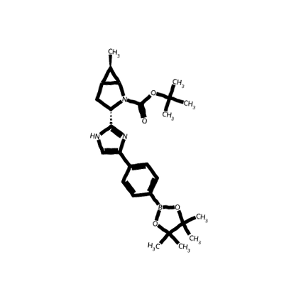 C[C@@H]1C2C[C@@H](c3nc(-c4ccc(B5OC(C)(C)C(C)(C)O5)cc4)c[nH]3)N(C(=O)OC(C)(C)C)C21